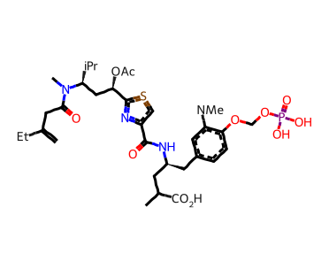 C=C(CC)CC(=O)N(C)[C@H](C[C@@H](OC(C)=O)c1nc(C(=O)N[C@@H](Cc2ccc(OCOP(=O)(O)O)c(NC)c2)CC(C)C(=O)O)cs1)C(C)C